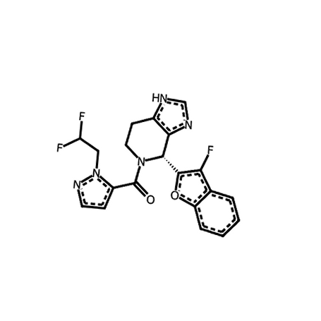 O=C(c1ccnn1CC(F)F)N1CCc2[nH]cnc2[C@@H]1c1oc2ccccc2c1F